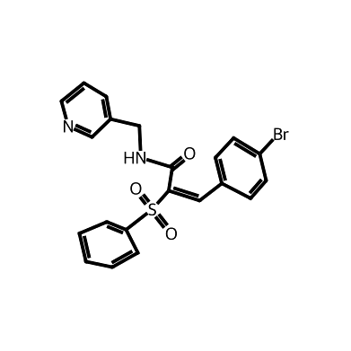 O=C(NCc1cccnc1)/C(=C\c1ccc(Br)cc1)S(=O)(=O)c1ccccc1